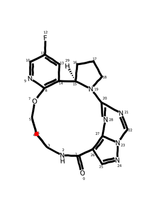 O=C1NC2CC(C2)Oc2ncc(F)cc2[C@H]2CCCN2c2ncn3ncc1c3n2